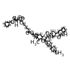 Cc1cc(C[C@@H](NC(=O)N2CCC(c3cc4ccccc4[nH]c3=O)CC2)C(=O)N2CCN(C3CCN(C)CC3)CC2)cc2cn(COC(=O)CCCCCOC(=O)[C@@H](NC(=O)OCc3ccccc3)C(C)C)nc12